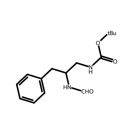 CC(C)(C)OC(=O)NCC(Cc1ccccc1)NC=O